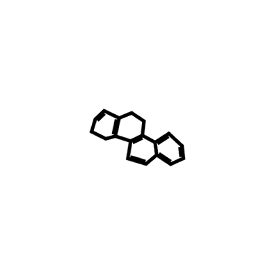 C1=CC2=C(CC1)c1ccc3ccccc3c1CC2